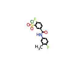 Cc1cc(NC(=O)c2ccc(F)c(S(=O)(=O)Cl)c2)ccc1F